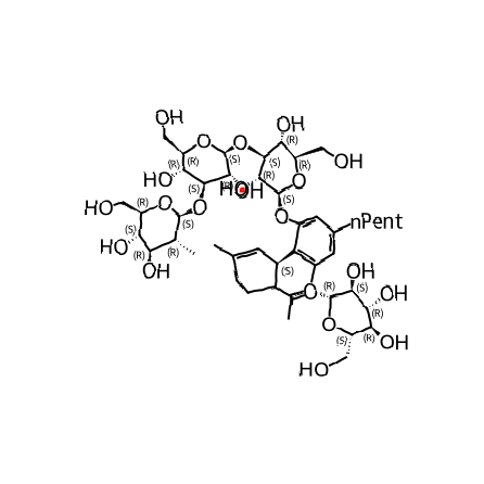 C=C(C)C1CCC(C)=C[C@H]1c1c(O[C@H]2O[C@@H](CO)[C@H](O)[C@@H](O)[C@@H]2O)cc(CCCCC)cc1O[C@@H]1O[C@H](CO)[C@@H](O)[C@H](O[C@@H]2O[C@H](CO)[C@@H](O)[C@H](O[C@@H]3O[C@H](CO)[C@@H](O)[C@H](O)[C@H]3C)[C@H]2O)[C@H]1O